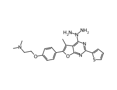 Cc1c(-c2ccc(OCCN(C)C)cc2)oc2nc(-c3cccs3)nc(N(N)N)c12